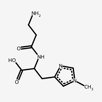 Cn1cnc(CC(NC(=O)CCN)C(=O)O)c1